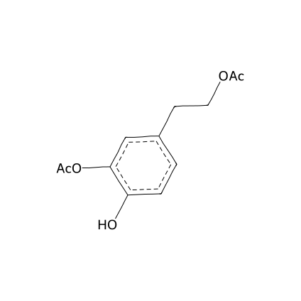 CC(=O)OCCc1ccc(O)c(OC(C)=O)c1